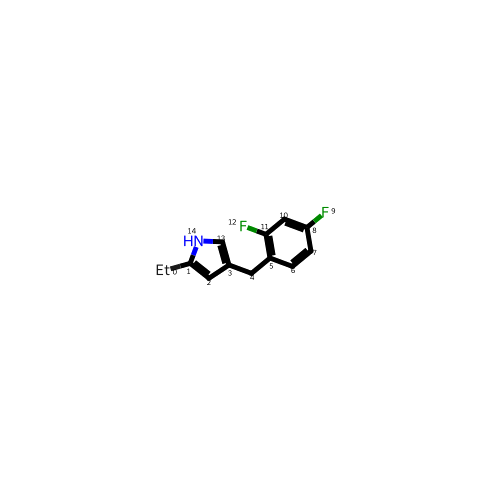 CCc1cc(Cc2ccc(F)cc2F)c[nH]1